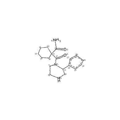 NC(=O)C1(C(=O)N2CCNCC2c2ccccc2)CCCCC1